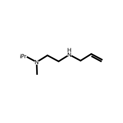 C=CCNCCN(C)C(C)C